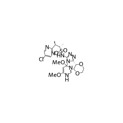 COC1=CC(OC)(n2c(NS(=O)(=O)[C@@H](C)[C@H](C)c3ncc(Cl)cn3)nnc2[C@H]2COCCO2)N=CN1